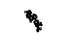 C=CC(=O)N1CC2(CCN(c3ncnc(-c4c(C)ccc5[nH]ncc45)c3C#N)CC2)C1C(C)C